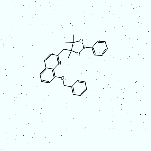 CC1(C)OB(c2ccccc2)OC1(C)Cc1ccc2cccc(OCc3ccccc3)c2n1